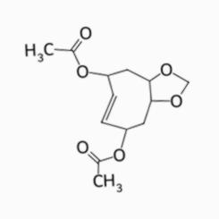 CC(=O)OC1/C=C/C(OC(C)=O)CC2OCOC2C1